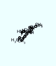 Cc1nc2[nH]cc(F)c2cc1Oc1cc(N2CCC3(CC2)CN([C@H]2CCC[C@H]2c2ccccc2C(C)C)C3)ccc1C(=O)NS(=O)(=O)c1ccc(NC[C@H]2CC[C@](C)(O)CC2)c([N+](=O)[O-])c1